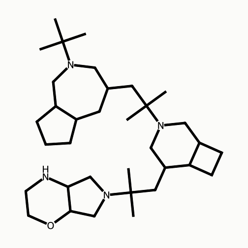 CC(C)(C)N1CC(CC(C)(C)N2CC3CCC3C(CC(C)(C)N3CC4NCCOC4C3)C2)CC2CCCC2C1